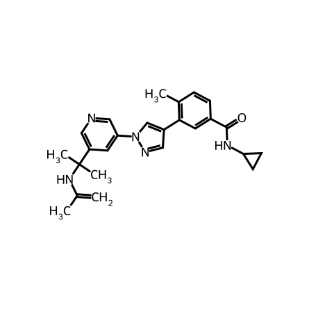 C=C(C)NC(C)(C)c1cncc(-n2cc(-c3cc(C(=O)NC4CC4)ccc3C)cn2)c1